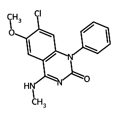 CNc1nc(=O)n(-c2ccccc2)c2cc(Cl)c(OC)cc12